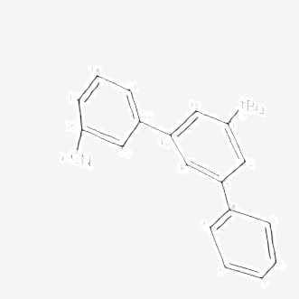 CC(C)(C)c1cc(-c2ccccc2)cc(-c2cccc(C#N)c2)c1